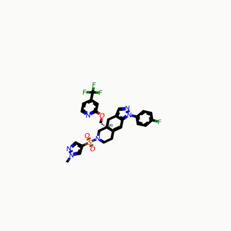 Cn1cc(S(=O)(=O)N2CCC3=Cc4c(cnn4-c4ccc(F)cc4)C[C@]3(COc3cc(C(F)(F)F)ccn3)C2)cn1